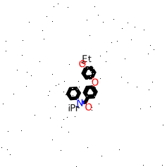 CCOc1ccc(Oc2ccc(C(=O)N(C(C)C)C3CCCCC3)cc2)cc1